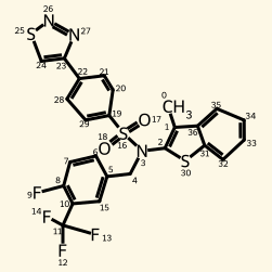 Cc1c(N(Cc2ccc(F)c(C(F)(F)F)c2)S(=O)(=O)c2ccc(-c3csnn3)cc2)sc2ccccc12